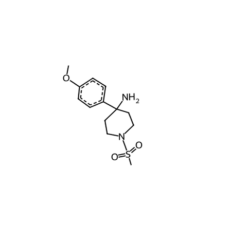 COc1ccc(C2(N)CCN(S(C)(=O)=O)CC2)cc1